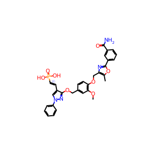 COc1cc(COc2nn(-c3ccccc3)cc2/C=C/P(=O)(O)O)ccc1OCc1nc(-c2cccc(C(N)=O)c2)oc1C